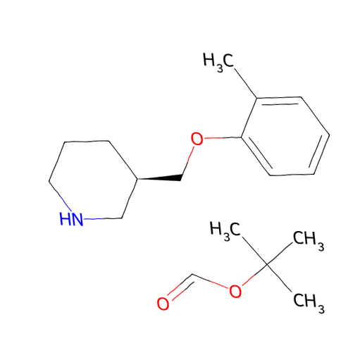 CC(C)(C)OC=O.Cc1ccccc1OC[C@@H]1CCCNC1